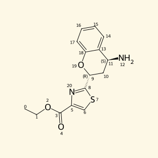 CCOC(=O)c1csc([C@H]2C[C@H](N)c3ccccc3O2)n1